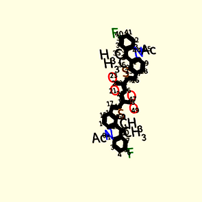 CC(=O)N1c2ccc(F)cc2C(C)(C)c2c1ccc1cc(C3=C4OC(=O)C(c5cc6ccc7c(c6s5)C(C)(C)c5cc(F)ccc5N7C(C)=O)=C4OC3=O)sc21